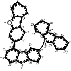 c1ccc2c(c1)oc1cc(-c3cccc4sc5ccc(-n6c7ccccc7c7ccccc76)cc5c34)ccc12